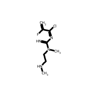 C=C(F)/C(Cl)=N\C(=N)N(C)CCNC